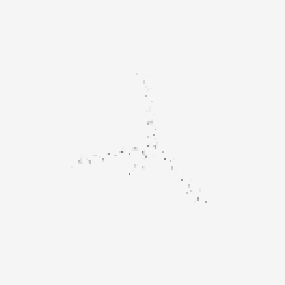 CCCCCCCCCCCC[P+](CCCCCC)(CCCCCCCCCCCC)CCCCCCCCCCCC.[I-]